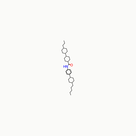 CCCCCC1CCC(c2ccc(NC(=O)C3CCC(C4CCC(CCC)CC4)CC3)cc2)CC1